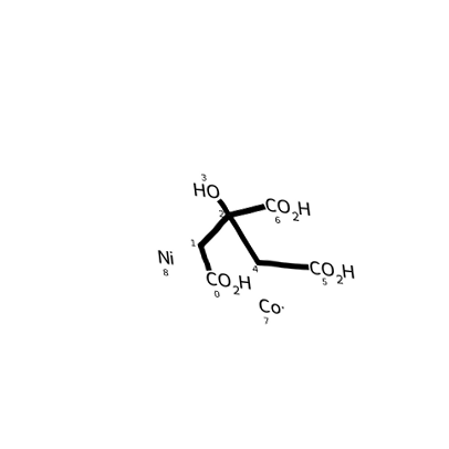 O=C(O)CC(O)(CC(=O)O)C(=O)O.[Co].[Ni]